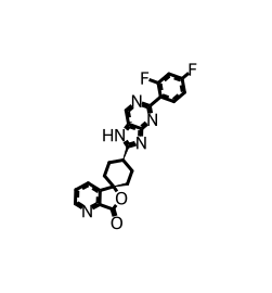 O=C1O[C@]2(CC[C@H](c3nc4nc(-c5ccc(F)cc5F)ncc4[nH]3)CC2)c2cccnc21